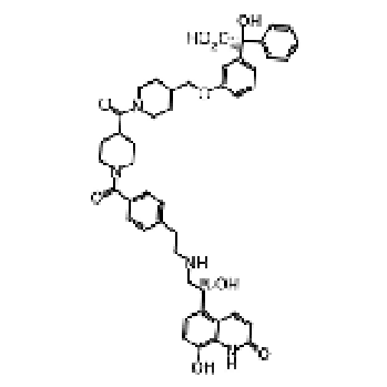 O=C(c1ccc(CCNC[C@H](O)c2ccc(O)c3[nH]c(=O)ccc23)cc1)N1CCC(C(=O)N2CCC(COc3cccc([C@](O)(C(=O)O)c4ccccc4)c3)CC2)CC1